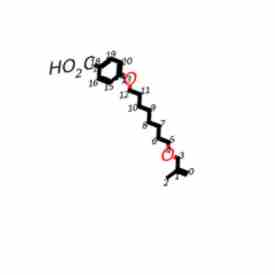 C=C(C)COCCCCCCCCOc1ccc(C(=O)O)cc1